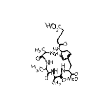 COC(=O)[C@H](Cc1ccc(NC(=O)CCC(=O)O)cc1)NC(=O)C(C)NC(=O)C(C)NC(=O)C(C)N